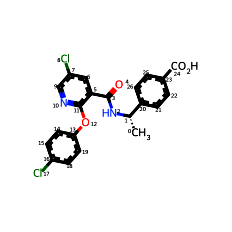 C[C@H](NC(=O)c1cc(Cl)cnc1Oc1ccc(Cl)cc1)c1ccc(C(=O)O)cc1